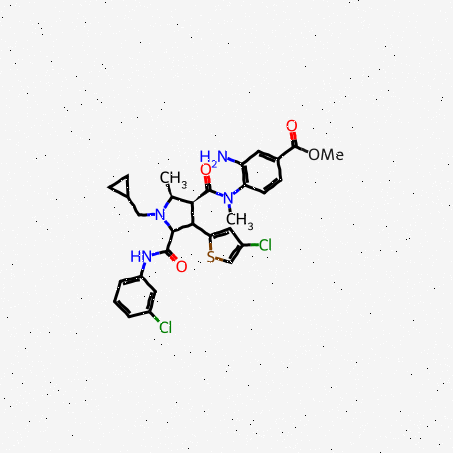 COC(=O)c1ccc(N(C)C(=O)[C@H]2C(c3cc(Cl)cs3)C(C(=O)Nc3cccc(Cl)c3)N(CC3CC3)[C@H]2C)c(N)c1